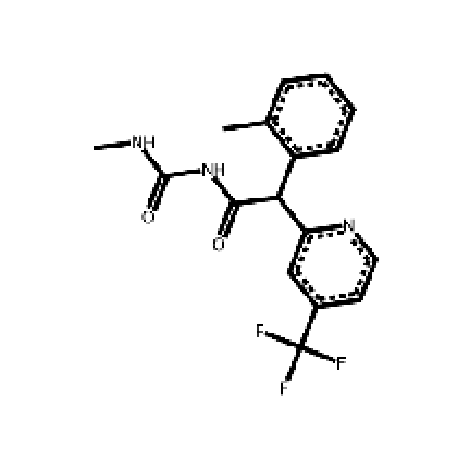 CNC(=O)NC(=O)C(c1cc(C(F)(F)F)ccn1)c1ccccc1C